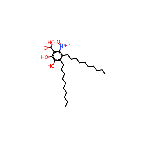 CCCCCCCCCCc1c(O)c(O)c(C(=O)O)c([N+](=O)[O-])c1CCCCCCCCCC